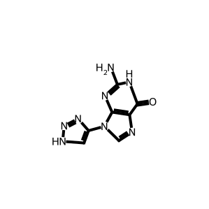 Nc1nc2c(ncn2-c2c[nH]nn2)c(=O)[nH]1